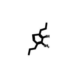 CCCc1ccc(CCC)c(S)c1N